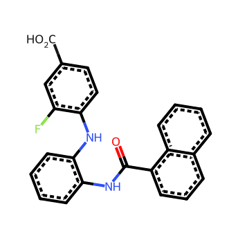 O=C(O)c1ccc(Nc2ccccc2NC(=O)c2cccc3ccccc23)c(F)c1